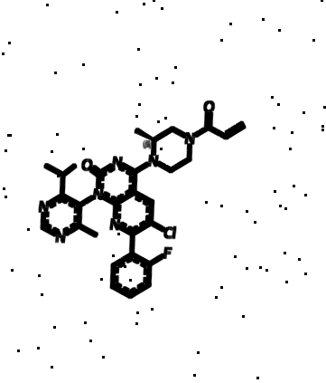 C=CC(=O)N1CCN(c2nc(=O)n(-c3c(C)ncnc3C(C)C)c3nc(-c4ccccc4F)c(Cl)cc23)[C@@H](C)C1